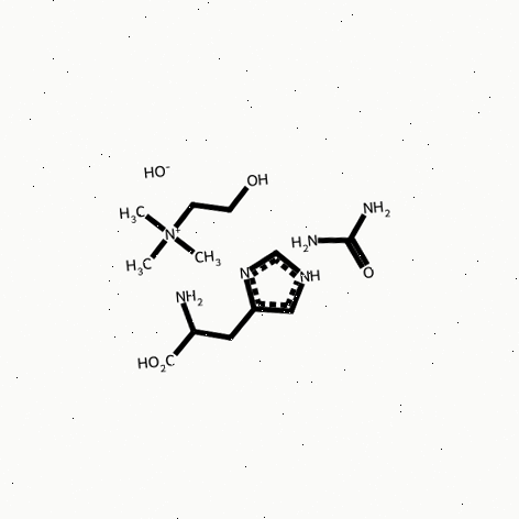 C[N+](C)(C)CCO.NC(Cc1c[nH]cn1)C(=O)O.NC(N)=O.[OH-]